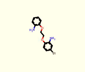 CCc1ccc(OCCOc2ccccc2N)c(N)c1